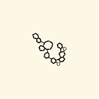 c1cccc(-c2ccc3ccccc3c2)c2ccccc2c(-c2cccc(-c3ccc4oc5ccc6cc7oc8ccccc8c7cc6c5c4c3)c2)cc1